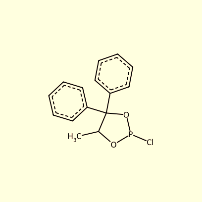 CC1OP(Cl)OC1(c1ccccc1)c1ccccc1